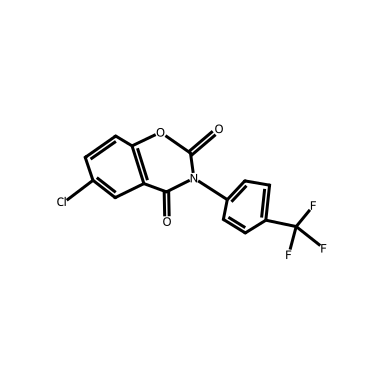 O=c1oc2ccc(Cl)cc2c(=O)n1-c1ccc(C(F)(F)F)cc1